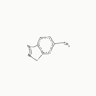 Cc1ccc2c(c1)CN=N2